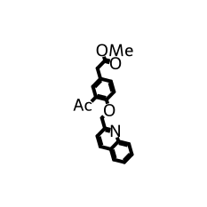 COC(=O)Cc1ccc(OCc2ccc3ccccc3n2)c(C(C)=O)c1